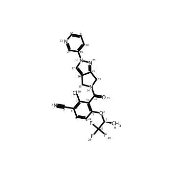 C[C@H](Oc1ccc(C#N)c(Cl)c1C(=O)N1Cc2cn(-c3cccnc3)nc2C1)C(F)(F)F